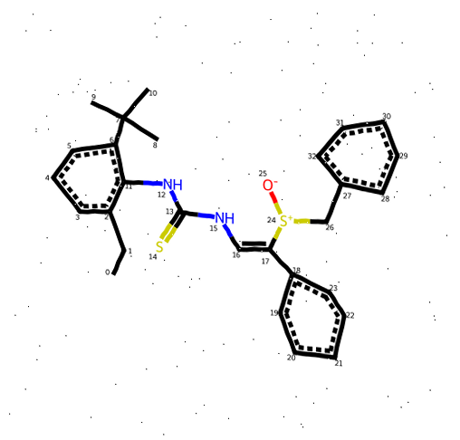 CCc1cccc(C(C)(C)C)c1NC(=S)N/C=C(/c1ccccc1)[S+]([O-])Cc1ccccc1